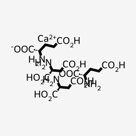 N[C@@H](CC(=O)O)C(=O)O.N[C@@H](CC(=O)O)C(=O)O.N[C@@H](CCC(=O)O)C(=O)[O-].N[C@@H](CCC(=O)O)C(=O)[O-].[Ca+2]